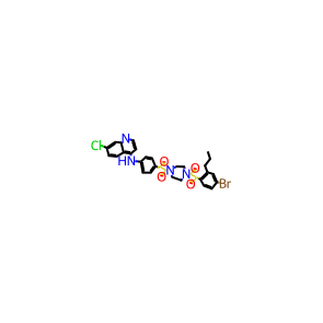 CCCc1cc(Br)ccc1S(=O)(=O)N1CCN(S(=O)(=O)c2ccc(Nc3ccnc4cc(Cl)ccc34)cc2)CC1